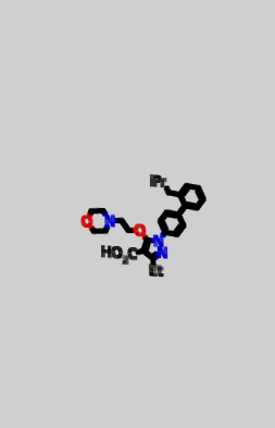 CCc1nn(-c2ccc(-c3ccccc3CC(C)C)cc2)c(OCCN2CCOCC2)c1C(=O)O